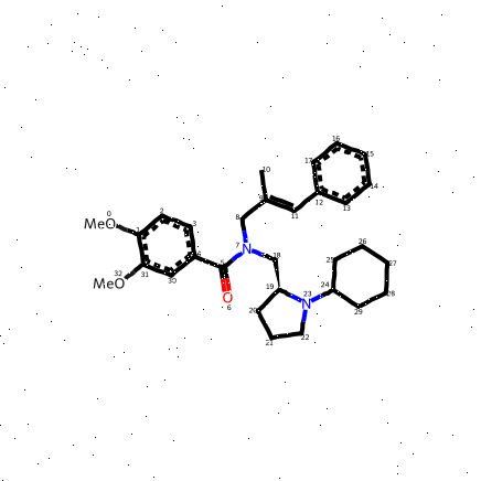 COc1ccc(C(=O)N(CC(C)=Cc2ccccc2)C[C@@H]2CCCN2C2CCCCC2)cc1OC